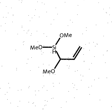 C=CC(OC)[SiH](OC)OC